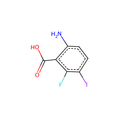 Nc1ccc(I)c(F)c1C(=O)O